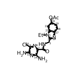 CCn1c(CNC(=O)c2nc(Cl)c(N)nc2N)nc2ccc(OC(C)=O)cc21